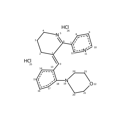 C(=C1CCCN=C1c1cccnc1)c1ccccc1N1CCOCC1.Cl.Cl